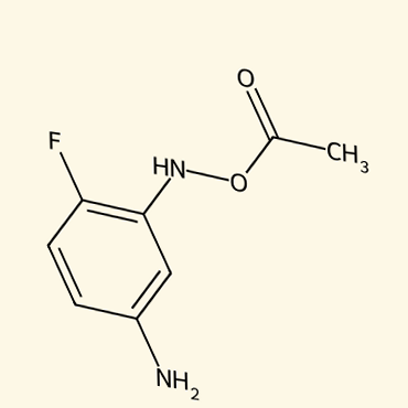 CC(=O)ONc1cc(N)ccc1F